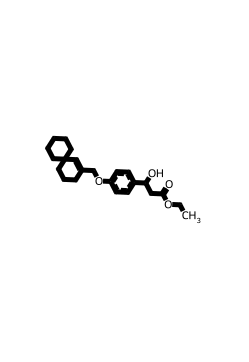 CCOC(=O)CC(O)c1ccc(OCC2=CC3(CCCCC3)CCC2)cc1